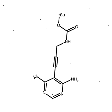 CC(C)(C)OC(=O)NCC#Cc1c(N)ncnc1Cl